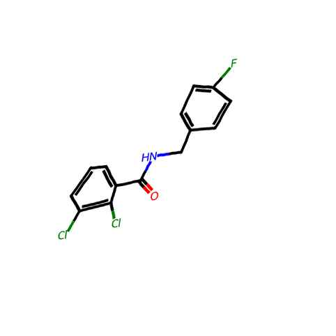 O=C(NCc1ccc(F)cc1)c1cccc(Cl)c1Cl